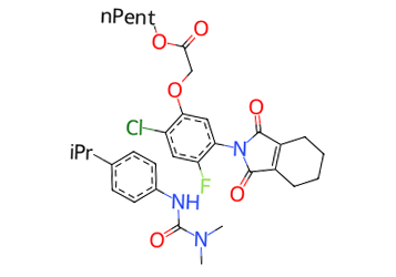 CC(C)c1ccc(NC(=O)N(C)C)cc1.CCCCCOC(=O)COc1cc(N2C(=O)C3=C(CCCC3)C2=O)c(F)cc1Cl